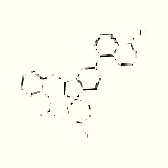 CCCN1CCC2(CC1)C[C@@H](Oc1ccccc1CC(O)O)c1cc(-c3cccc4c(N)nccc34)ccc12